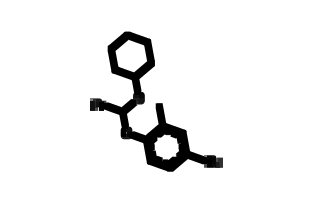 CCC(C)c1ccc(OC(OC2CCCCC2)C(C)C)c(C)c1